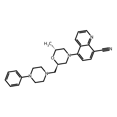 C[C@@H]1CN(c2ccc(C#N)c3ncccc23)C[C@@H](CN2CCN(c3ccccc3)CC2)O1